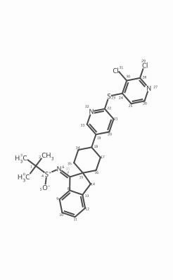 CC(C)(C)[S+]([O-])/N=C1\c2ccccc2CC12CCC(c1ccc(Sc3ccnc(Cl)c3Cl)nc1)CC2